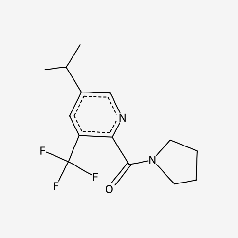 CC(C)c1cnc(C(=O)N2CCCC2)c(C(F)(F)F)c1